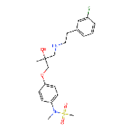 CN(c1ccc(OCC(C)(O)CNCCc2cccc(Cl)c2)cc1)S(C)(=O)=O